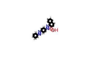 OOc1ccc2ccccc2c1/N=N/c1ccc(/N=N/c2ccccc2)cc1